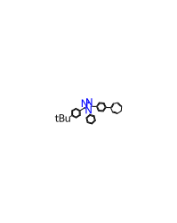 CC(C)(C)c1ccc(-c2nnc(-c3ccc(C4=CC=CCC=C4)cc3)n2-c2ccccc2)cc1